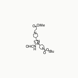 COC(=O)CCN1CCC(C2=NN(C3CCN(C(=O)OC(C)(C)C)CC3)C(NC=O)S2)CC1